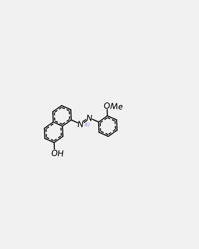 COc1ccccc1/N=N/c1cccc2ccc(O)cc12